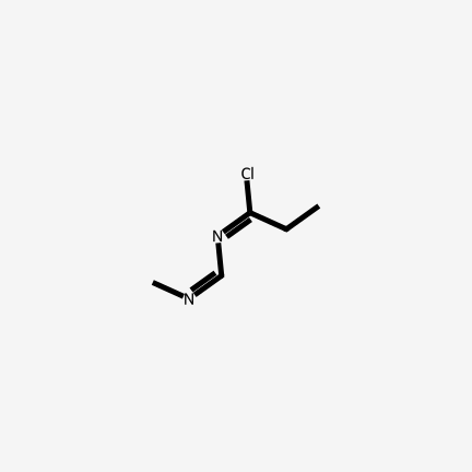 CC/C(Cl)=N\C=N/C